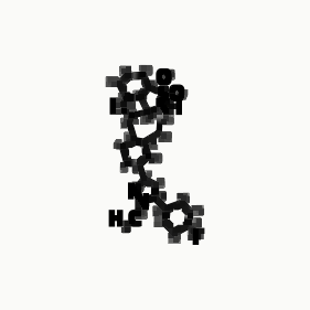 CC[C@H]1Cc2ccc(-c3cc(-c4ccc(F)cc4)n(C)n3)cc2CC[C@]12NS(=O)(=O)c1ccccc12